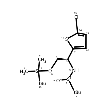 CC(C)(C)[S+]([O-])N[C@@H](CO[Si](C)(C)C(C)(C)C)c1ccc(Cl)s1